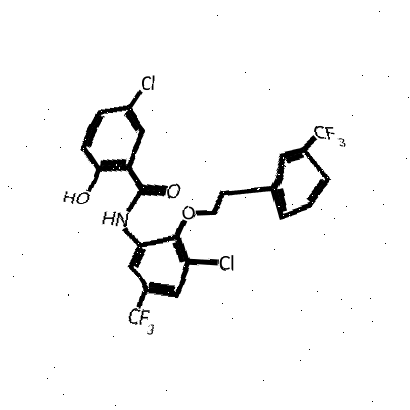 O=C(Nc1cc(C(F)(F)F)cc(Cl)c1OCCc1cccc(C(F)(F)F)c1)c1cc(Cl)ccc1O